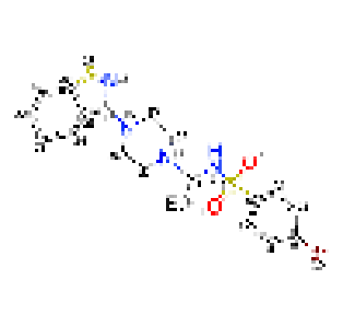 CCC(NS(=O)(=O)c1ccc(Br)cc1)N1CCN(c2nsc3ccccc23)CC1